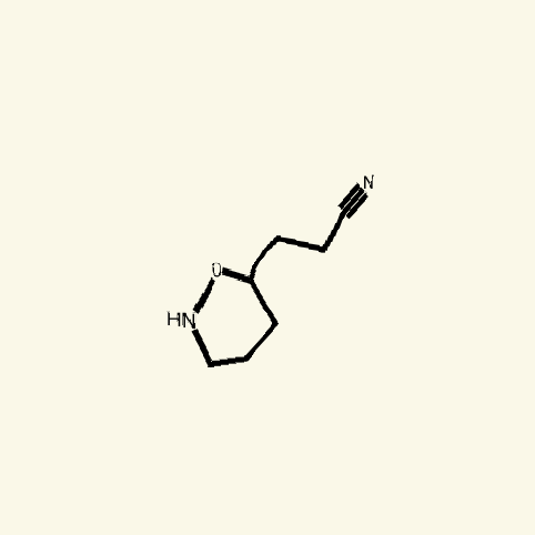 N#CCCC1CCCNO1